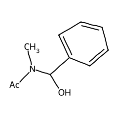 CC(=O)N(C)C(O)c1ccccc1